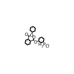 O=C(Oc1ccccc1)c1ccccc1C(=O)Oc1ccccc1.PCl